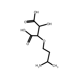 CC(N)CCOC(C(=O)O)C(O)C(=O)O